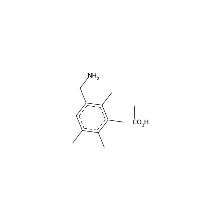 CC(=O)O.Cc1cc(CN)c(C)c(C)c1C